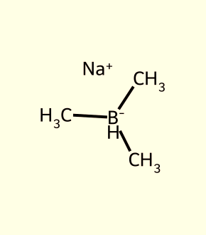 C[BH-](C)C.[Na+]